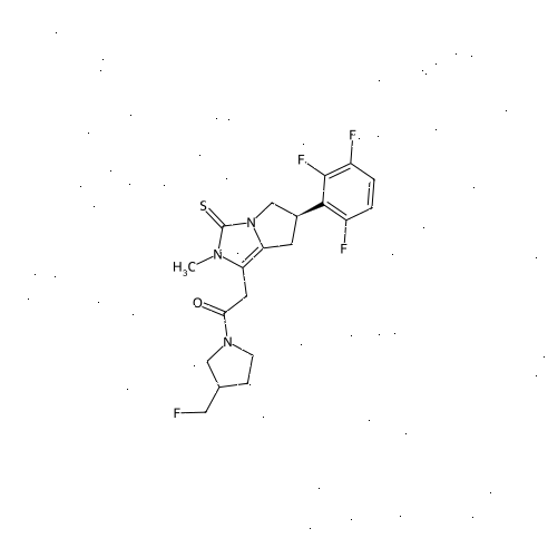 Cn1c(CC(=O)N2CCC(CF)C2)c2n(c1=S)C[C@@H](c1c(F)ccc(F)c1F)C2